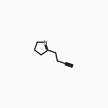 C#CCCC1=NCCC1